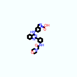 O=C(CN1CCOCC1)Nc1cccc(-c2nc(Nc3ccc4c(cnn4C(=O)O)c3)c3ccccc3n2)c1